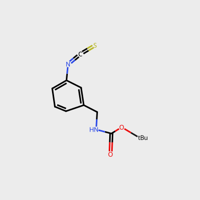 CC(C)(C)OC(=O)NCc1cccc(N=C=S)c1